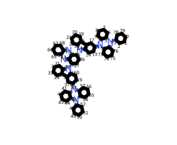 c1ccc(N2c3ccccc3N(c3ccc4c(c3)c3ccccc3n4-c3ccc(-n4c5ccccc5c5cc(N6c7ccccc7N(c7ccccc7)c7ccccc76)ccc54)c4nc5ccccc5nc34)c3ccccc32)cc1